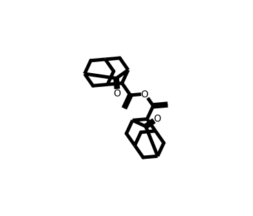 C=C(OC(=C)C1C2CC3CC(C2)C(=O)C1C3)C1C2CC3CC(C2)C(=O)C1C3